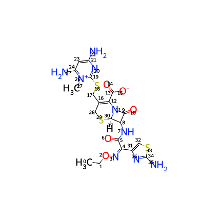 CCO/N=C(\C(=O)NC1C(=O)N2C(C(=O)[O-])=C(CSc3nc(N)cc(N)[n+]3C)CS[C@H]12)c1csc(N)n1